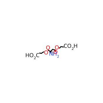 N[C@H](CC(=O)OCCCC(=O)O)C(=O)OCCCC(=O)O